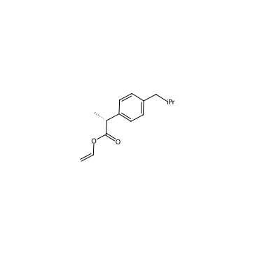 C=COC(=O)[C@H](C)c1ccc(CC(C)C)cc1